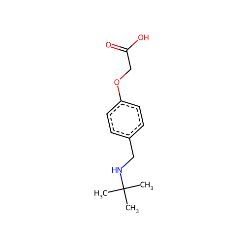 CC(C)(C)NCc1ccc(OCC(=O)O)cc1